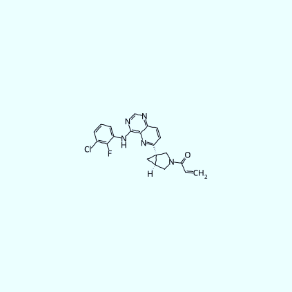 C=CC(=O)N1C[C@H]2C[C@@]2(c2ccc3ncnc(Nc4cccc(Cl)c4F)c3n2)C1